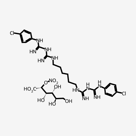 N=C(NCCCCCCNC(=N)NC(=N)Nc1ccc(Cl)cc1)NC(=N)Nc1ccc(Cl)cc1.O=C(O)[C@H](O[N+](=O)[O-])[C@@H](O)[C@H](O)[C@H](O)CO